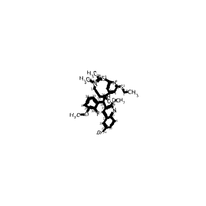 CCSc1cc2cc(n1)SC(C)N(C)CCC2(O)C(c1cc2cc(Br)ccc2nc1OC)c1cccc(OC)c1F